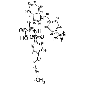 CC#CCOc1ccc(S(=O)(=O)N[C@H](Cc2cn(Cc3ccc(C(F)(F)F)cc3)c3ccccc23)C(=O)O)cc1